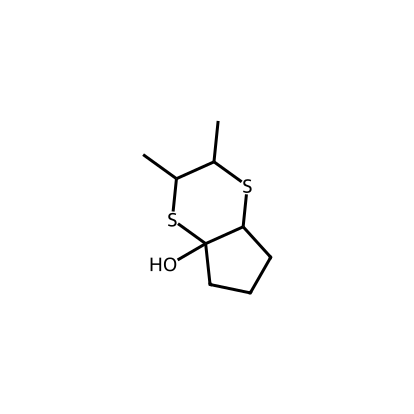 CC1SC2CCCC2(O)SC1C